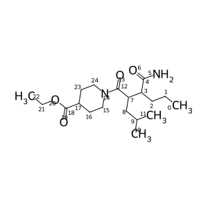 CCCC(C(N)=O)C(CC(C)C)C(=O)N1CCC(C(=O)OCC)CC1